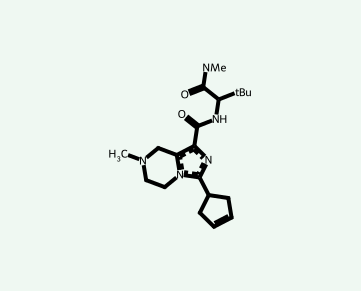 CNC(=O)C(NC(=O)c1nc(C2CC=CC2)n2c1CN(C)CC2)C(C)(C)C